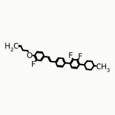 C=CCCOc1ccc(/C=C/c2ccc(-c3ccc(C4CCC(C)CC4)c(F)c3F)cc2)cc1F